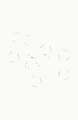 C1=c2ccccc2=CC2c3c(cc(-c4cccc5c4sc4ccccc45)nc3C3=NC(c4ccccc4)=NC(c4ccccc4)N3)OC12